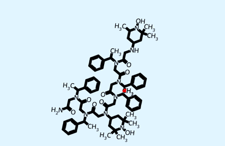 CC(c1ccccc1)N(CC(N)=O)C(=O)CN(C(=O)CN(C(=O)CN(C(=O)CN(C(=O)CN(C(=O)CNC1CC(C)N(O)C(C)(C)C1)C(C)c1ccccc1)[C@H](C)c1ccccc1)C(C)c1ccccc1)C1CC(C)(C)N(O)C(C)(C)C1)C(C)c1ccccc1